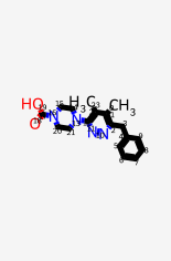 Cc1c(Cc2ccccc2)nnc(N2CCN(C(=O)O)CC2)c1C